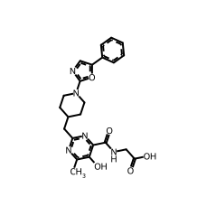 Cc1nc(CC2CCN(c3ncc(-c4ccccc4)o3)CC2)nc(C(=O)NCC(=O)O)c1O